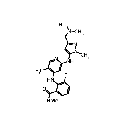 CNC(=O)c1cccc(F)c1Nc1cc(Nc2cc(CN(C)C)nn2C)ncc1C(F)(F)F